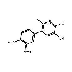 COc1ccc(-c2cc(C#N)c(Cl)nc2C)cc1OC